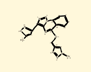 Cc1cc(-c2nnn3c2nc(OCc2cn(C)nn2)c2ccccc23)no1